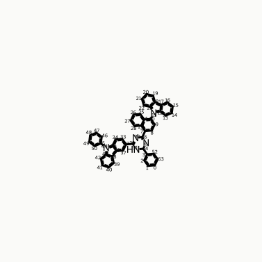 c1ccc(C2N=C(c3ccc(-n4c5ccccc5c5ccccc54)c4ccccc34)N=C(c3ccc4c(c3)c3ccccc3n4-c3ccccc3)N2)cc1